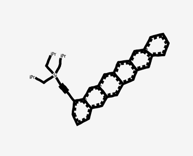 CC(C)C[Si](C#Cc1cccc2cc3cc4cc5cc6ccccc6cc5cc4cc3cc12)(CC(C)C)CC(C)C